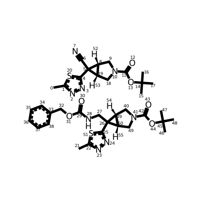 Cc1nnc(C2(C#N)[C@@H]3CN(C(=O)OC(C)(C)C)C[C@@H]32)s1.Cc1nnc(C2(CNC(=O)OCc3ccccc3)[C@@H]3CN(C(=O)OC(C)(C)C)C[C@@H]32)s1